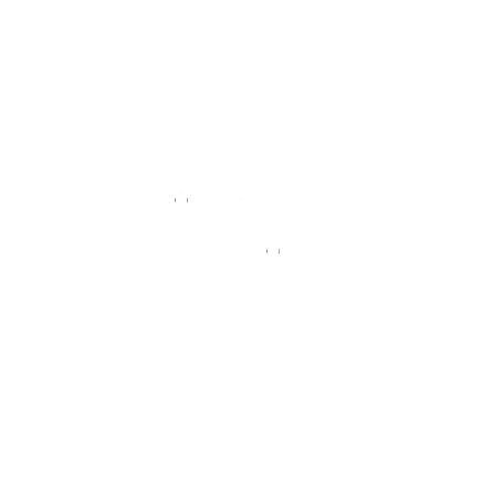 C=CC(C)C(C=C)OC(=O)C(=C)C